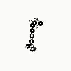 CC(=O)N1c2ccc(-c3ccc(N4CCC(N5CCN(Cc6ccncc6N6CCC(=O)NC6=O)CC5)CC4)cc3)cc2C(Nc2ccc(Cl)cc2)CC1C